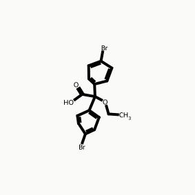 CCOC(C(=O)O)(c1ccc(Br)cc1)c1ccc(Br)cc1